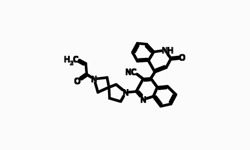 C=CC(=O)N1CC2(CCN(c3nc4ccccc4c(-c4cc(=O)[nH]c5ccccc45)c3C#N)C2)C1